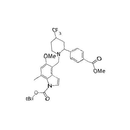 COC(=O)c1ccc(C2CC(C(F)(F)F)CCN2Cc2c(OC)cc(C)c3c2ccn3C(=O)OC(C)(C)C)cc1